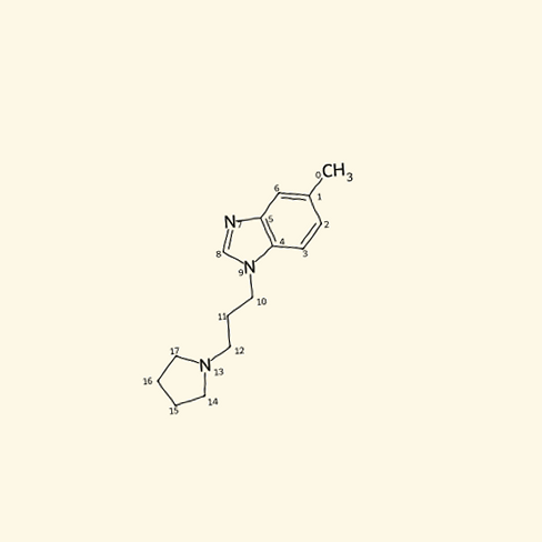 Cc1ccc2c(c1)ncn2CCCN1CCCC1